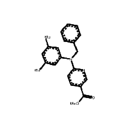 COC(=O)c1ccc(N(Cc2ccccc2)c2cc(C(C)(C)C)cc(C(C)(C)C)c2)nc1